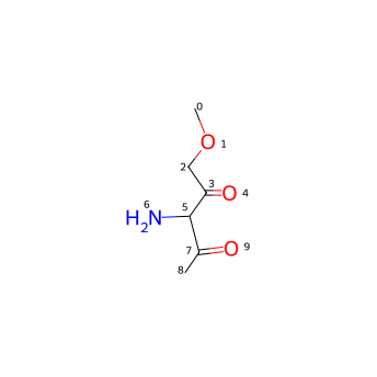 COCC(=O)C(N)C(C)=O